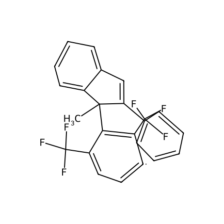 CC1(c2c(C(F)(F)F)[c]ccc2C(F)(F)F)C(c2ccccc2)=Cc2ccccc21